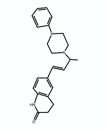 CC(C=Cc1ccc2c(c1)CCC(=O)N2)N1CCN(c2ccccc2)CC1